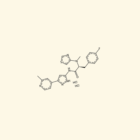 Cc1cc(-c2cc(NC(=O)[C@H](Cc3ccc(F)cc3)N(C)c3cscn3)[nH]n2)ccn1.Cl.Cl